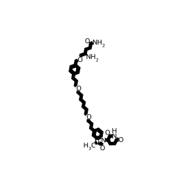 Cn1c(=O)n(C2CCC(=O)NC2=O)c2ccc(CCCOCCCCCCCOCCCc3ccc(COC[C@@H](N)CCC(N)=O)cc3)cc21